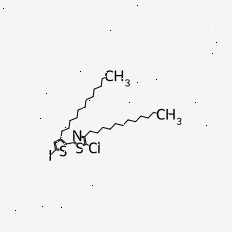 CCCCCCCCCCCCc1cc(I)sc1-c1nc(CCCCCCCCCCCC)c(Cl)s1